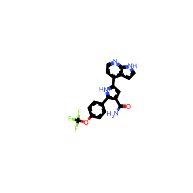 NC(=O)c1cc(-c2ccnc3[nH]ccc23)[nH]c1-c1ccc(OC(F)(F)F)cc1